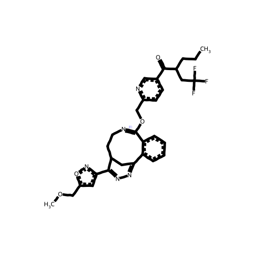 CCCC(CC(F)(F)F)C(=O)c1ccc(CO/C2=N/CCC3CC(=NN=C3c3cc(COC)on3)c3ccccc32)nc1